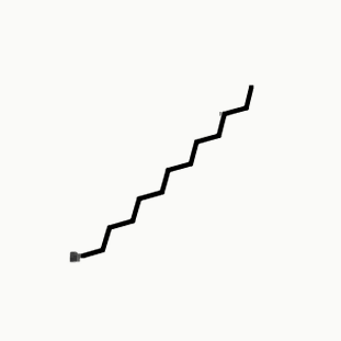 CC[CH]CCCCCCCCCBr